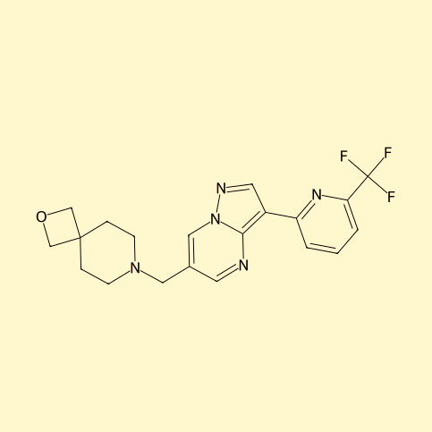 FC(F)(F)c1cccc(-c2cnn3cc(CN4CCC5(CC4)COC5)cnc23)n1